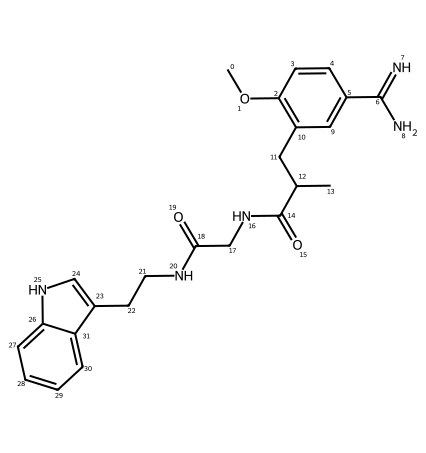 COc1ccc(C(=N)N)cc1CC(C)C(=O)NCC(=O)NCCc1c[nH]c2ccccc12